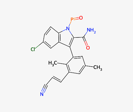 Cc1cc(C=CC#N)c(C)c(-c2c(C(N)=O)n(P=O)c3ccc(Cl)cc23)c1